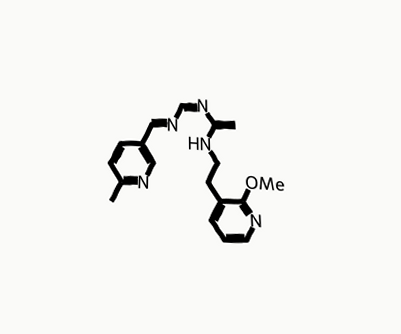 C=C(/N=C\N=C\c1ccc(C)nc1)NCCc1cccnc1OC